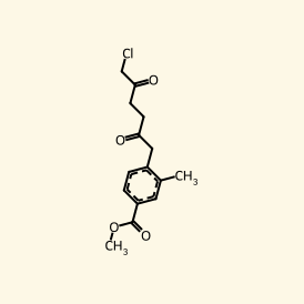 COC(=O)c1ccc(CC(=O)CCC(=O)CCl)c(C)c1